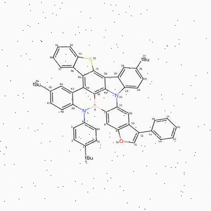 CC(C)(C)c1ccc(N2B3c4cc5occ(-c6ccccc6)c5cc4-n4c5ccc(C(C)(C)C)cc5c5c6sc7ccccc7c6c(c3c54)-c3cc(C(C)(C)C)ccc32)cc1